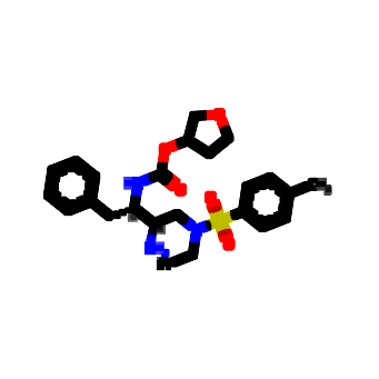 Cc1ccc(S(=O)(=O)N(CC(C)C)C[C@@H](N)[C@H](Cc2ccccc2)NC(=O)OC2CCOC2)cc1